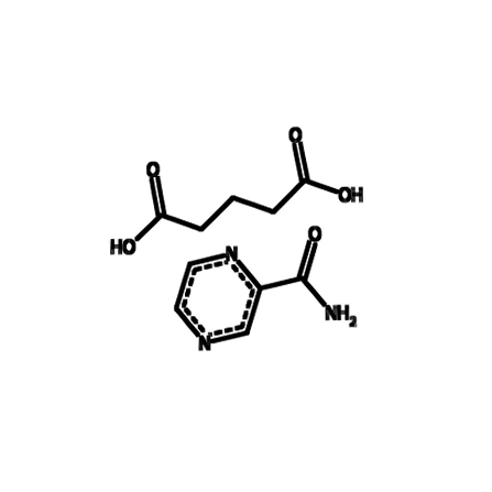 NC(=O)c1cnccn1.O=C(O)CCCC(=O)O